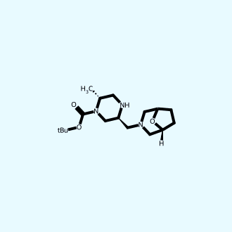 C[C@@H]1CN[C@@H](CN2CC3CC[C@H](C2)O3)CN1C(=O)OC(C)(C)C